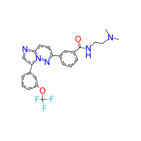 CN(C)CCNC(=O)c1cccc(-c2ccc3ncc(-c4cccc(OC(F)(F)F)c4)n3n2)c1